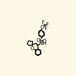 O=S(=O)(N[C@@H]1CC2(CCCC2)Oc2ccccc21)c1ccc(OC(F)(F)F)cc1